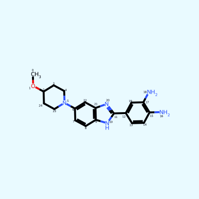 COC1CCN(c2ccc3[nH]c(-c4ccc(N)c(N)c4)nc3c2)CC1